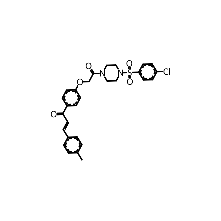 Cc1ccc(C=CC(=O)c2ccc(OCC(=O)N3CCN(S(=O)(=O)c4ccc(Cl)cc4)CC3)cc2)cc1